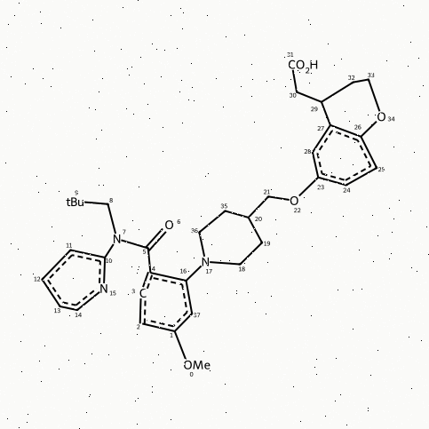 COc1ccc(C(=O)N(CC(C)(C)C)c2ccccn2)c(N2CCC(COc3ccc4c(c3)C(CC(=O)O)CCO4)CC2)c1